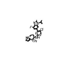 Cc1nc2c(F)cc(-c3nc(N[C@H]4CCn5nccc5[C@H]4O)ncc3Cl)cc2n1C(C)C